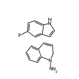 Fc1ccc2[nH]ccc2c1.NN1CC=Cc2ccccc21